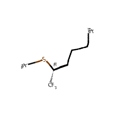 CC(C)CCC[C@@H](SC(C)C)C(F)(F)F